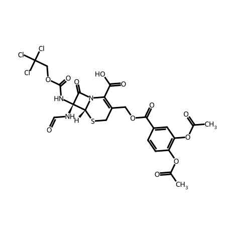 CC(=O)Oc1ccc(C(=O)OCC2=C(C(=O)O)N3C(=O)[C@@](NC=O)(NC(=O)OCC(Cl)(Cl)Cl)[C@H]3SC2)cc1OC(C)=O